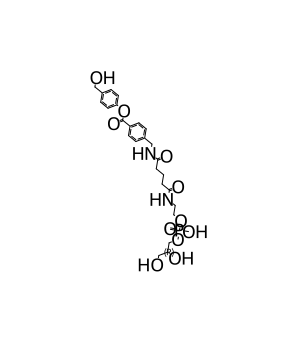 O=C(CCCC(=O)NCc1ccc(C(=O)Oc2ccc(CO)cc2)cc1)NCCOP(=O)(O)OC[C@H](O)CO